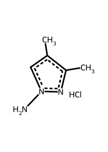 Cc1cn(N)nc1C.Cl